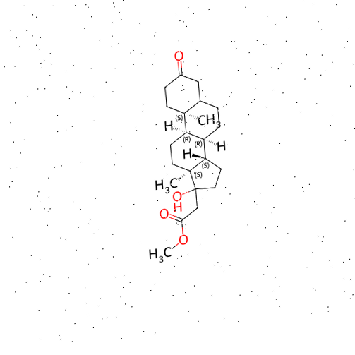 COC(=O)CC1(O)CC[C@H]2[C@@H]3CCC4CC(=O)CC[C@]4(C)[C@@H]3CC[C@@]21C